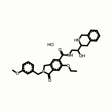 CCOc1cc2c(cc1C(=O)NCC(O)C1Cc3ccccc3CN1)CN(Cc1cccc(OC)c1)C2=O.Cl